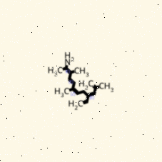 C=C/C(=C/C(=C)C)C\C=C(C)/C=C/C(C)=C(\C)N